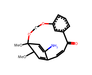 COC1C=C2C=CC(=O)c3cccc(c3)OCOC1(OC)C=C2N